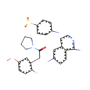 CCOc1ccc(F)c([C@@H](Nc2ccc3c(N)nccc3c2)C(=O)N2CCC[C@@H]2c2cc(N)ccc2[SH](=O)=O)c1